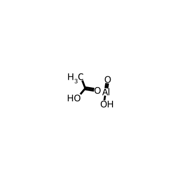 CC(=O)O.[O]=[Al][OH]